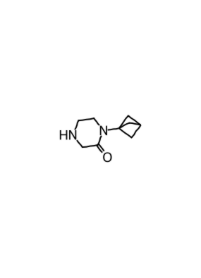 O=C1CNCCN1C12CC(C1)C2